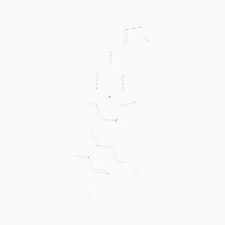 C/C=C1\N(Cc2cc(OC)cc(OC)c2C)C(=O)N(CC)C12CCN(Cc1ccco1)CC2